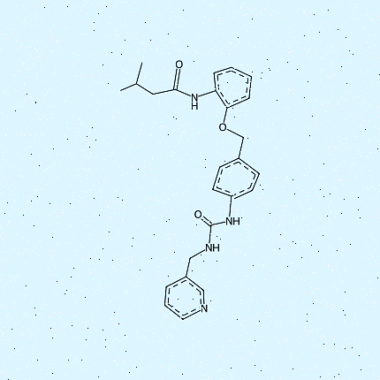 CC(C)CC(=O)Nc1ccccc1OCc1ccc(NC(=O)NCc2cccnc2)cc1